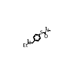 CCN(C)Cc1ccc(SC(=O)N(C)C)cc1